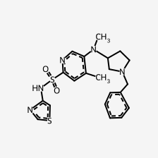 Cc1cc(S(=O)(=O)Nc2cscn2)ncc1N(C)C1CCN(Cc2ccccc2)C1